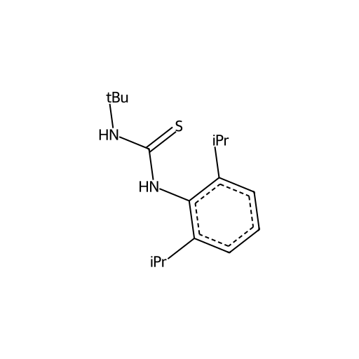 CC(C)c1cccc(C(C)C)c1NC(=S)NC(C)(C)C